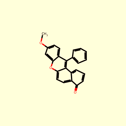 COc1ccc2c(-c3ccccc3)c3c(ccc4c(=O)cccc43)oc2c1